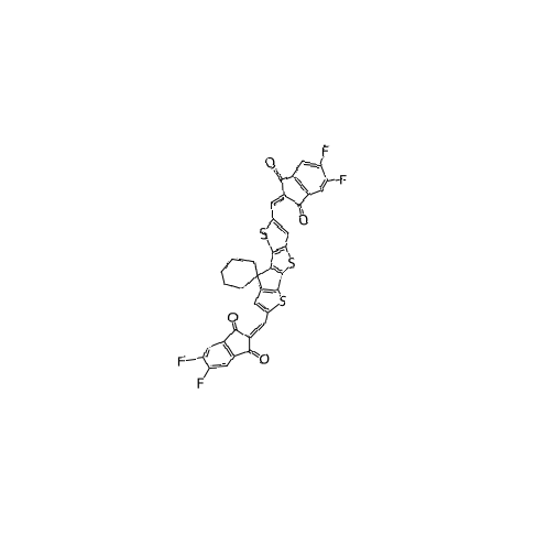 O=C1C(=Cc2cc3c(s2)-c2sc4cc(C=C5C(=O)c6cc(F)c(F)cc6C5=O)sc4c2C32CCCCC2)C(=O)c2cc(F)c(F)cc21